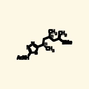 C=C(C[C@H](C)C[C@H](C)c1nnc(NC(C)=O)s1)SC